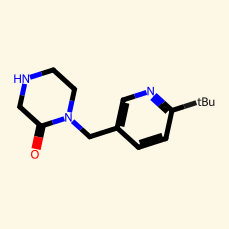 CC(C)(C)c1ccc(CN2CCNCC2=O)cn1